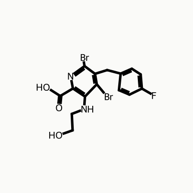 O=C(O)c1nc(Br)c(Cc2ccc(F)cc2)c(Br)c1NCCO